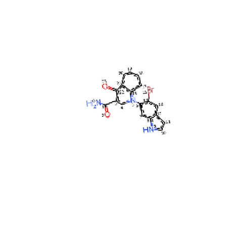 NC(=O)c1cn(-c2cc3[nH]ccc3cc2Br)c2ccccc2c1=O